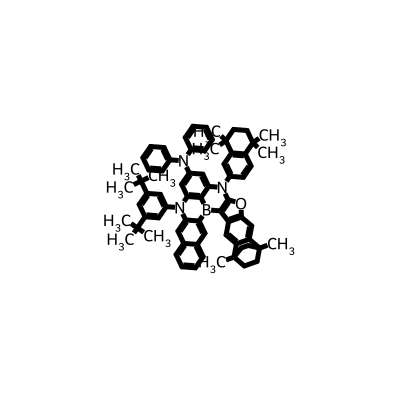 CC(C)(C)c1cc(N2c3cc4ccccc4cc3B3c4c2cc(N(c2ccccc2)c2ccccc2)cc4N(c2ccc4c(c2)C(C)(C)CCC4(C)C)c2oc4cc5c(cc4c23)C2(C)CCC5(C)CC2)cc(C(C)(C)C)c1